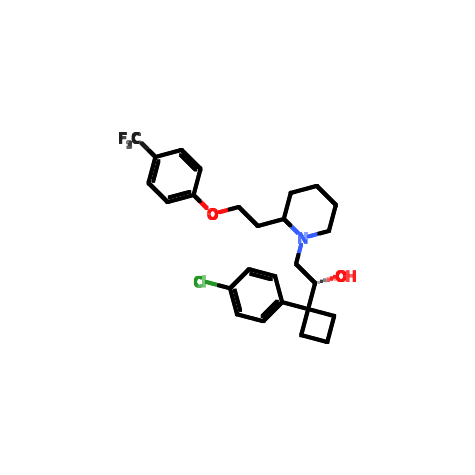 O[C@@H](CN1CCCCC1CCOc1ccc(C(F)(F)F)cc1)C1(c2ccc(Cl)cc2)CCC1